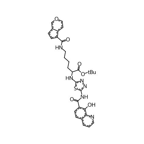 CC(C)(C)OC(=O)C(CCCCNC(=O)c1ccc2coccc1-2)Nc1nnc(NC(=O)c2ccc3cccnc3c2O)s1